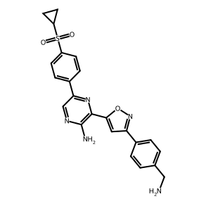 NCc1ccc(-c2cc(-c3nc(-c4ccc(S(=O)(=O)C5CC5)cc4)cnc3N)on2)cc1